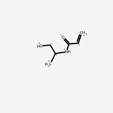 C=CC(=O)NC(C)CO